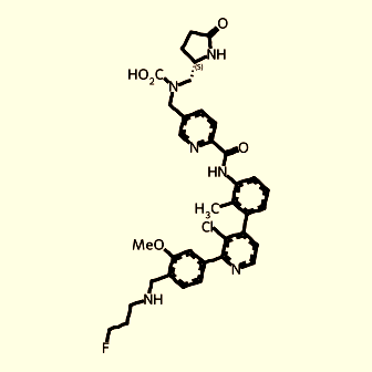 COc1cc(-c2nccc(-c3cccc(NC(=O)c4ccc(CN(C[C@@H]5CCC(=O)N5)C(=O)O)cn4)c3C)c2Cl)ccc1CNCCCF